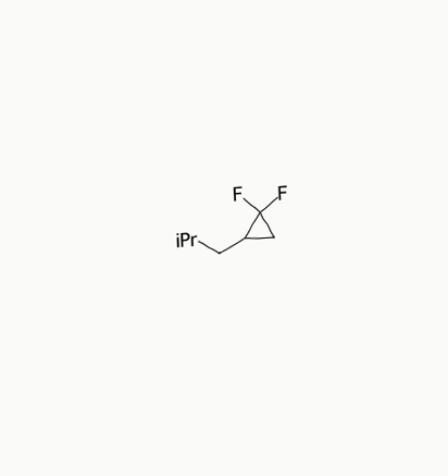 CC(C)CC1CC1(F)F